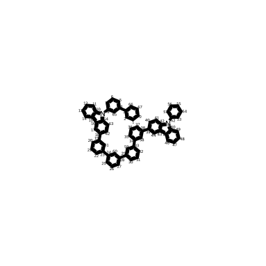 c1ccc(-c2cccc(-n3c4ccccc4c4cc(-c5cccc(-c6cccc(-c7cccc(-c8cccc(-c9ccc%10c(c9)c9ccccc9n%10-c9ccccc9)c8)c7)c6)c5)ccc43)c2)cc1